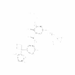 CC1CC(c2ccc(F)c(NC(=O)c3cc(CNCC4(CF)CC4)cn(CCC(F)(F)F)c3=O)c2)(c2nncn2C)C1